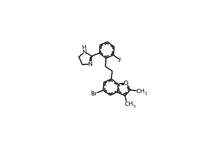 Cc1oc2c(CCc3c(F)cccc3C3=NCCN3)cc(Br)cc2c1C